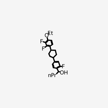 CCCC(O)c1ccc(C2CCC(c3ccc(OCC)c(F)c3F)CC2)cc1F